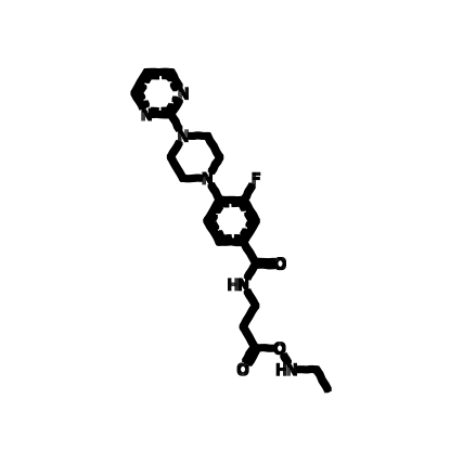 CCNOC(=O)CCNC(=O)c1ccc(N2CCN(c3ncccn3)CC2)c(F)c1